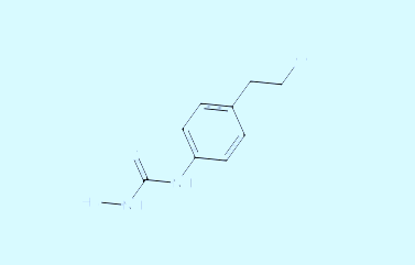 O=C(O)CCc1ccc(NC(=O)NS)cc1